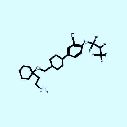 CCCC1(OCC2CCC(c3ccc(OC(F)(F)C(F)C(F)(F)F)c(F)c3)CC2)CCCCC1